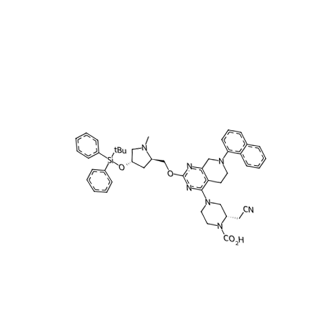 CN1C[C@@H](O[Si](c2ccccc2)(c2ccccc2)C(C)(C)C)C[C@@H]1COc1nc2c(c(N3CCN(C(=O)O)[C@@H](CC#N)C3)n1)CCN(c1cccc3ccccc13)C2